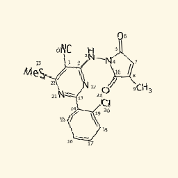 [C-]#[N+]c1c(NN2C(=O)C=C(C)C2=O)nc(-c2ccccc2Cl)nc1SC